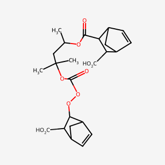 CC(CC(C)(C)OC(=O)OOC1C2C=CC(C2)C1C(=O)O)OC(=O)C1C2C=CC(C2)C1C(=O)O